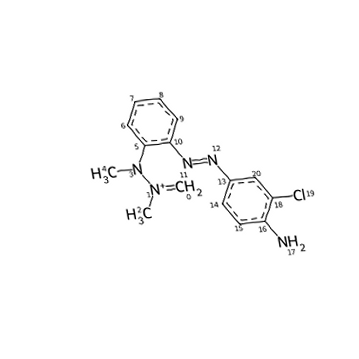 C=[N+](C)N(C)c1ccccc1N=Nc1ccc(N)c(Cl)c1